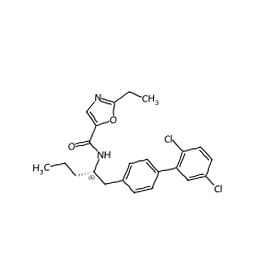 CCC[C@@H](Cc1ccc(-c2cc(Cl)ccc2Cl)cc1)NC(=O)c1cnc(CC)o1